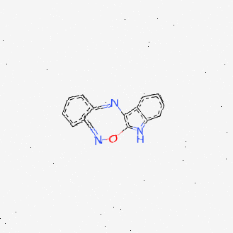 c1ccc2c(c1)=NOc1[nH]c3ccccc3c1N=2